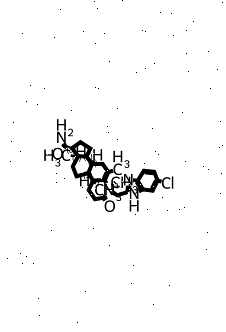 CC1=C2[C@](C)(CCC(=O)[N+]2(C)Cc2nc3ccc(Cl)cc3[nH]2)[C@H]2CC[C@]3(C)[C@@H](C(N)=O)CC[C@H]3[C@@H]2C1